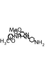 COc1cc2nn(C3CCC(N)CC3)cc2cc1C(=O)Nc1cccn(C)c1=O